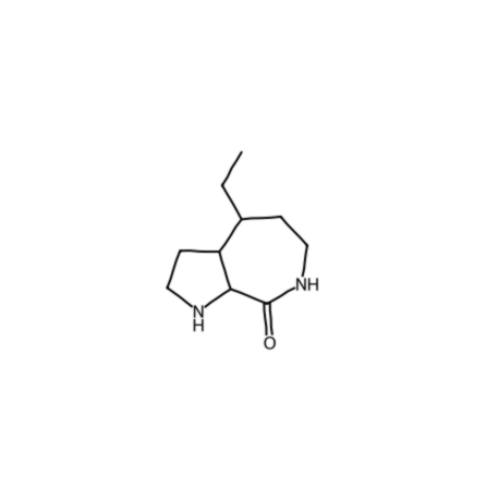 CCC1CCNC(=O)C2NCCC12